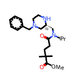 COC(=O)C(C)(C)CCC(=O)N(C[C@@H]1CN(Cc2ccccc2)CCN1)C(C)C